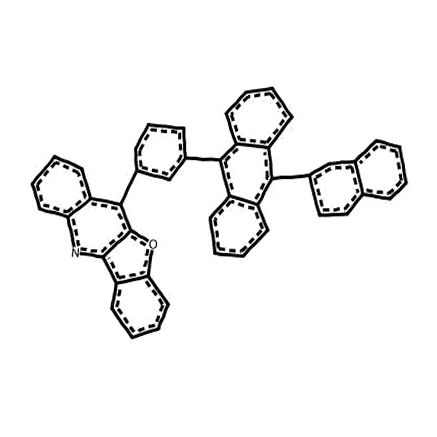 c1cc(-c2c3ccccc3c(-c3ccc4ccccc4c3)c3ccccc23)cc(-c2c3ccccc3nc3c2oc2ccccc23)c1